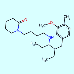 CCC(Cc1ccc(C)c(OC)c1)C(CC)NCCCCN1CCCCC1=O